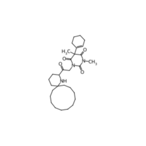 CN1C(=O)N(CC(=O)C2CCCC3(CCCCCCCCCCC3)N2)C(=O)C(C)(C2=CCCCC2)C1=O